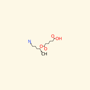 C#CC(CCCC#N)OC(=O)CCCCC(=O)O